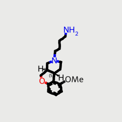 COc1cccc2c1[C@H]1CCN(CCCCN)C[C@@H]1CO2